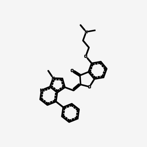 CN(C)CCOc1cccc2c1C(=O)C(=Cc1cn(C)c3nccc(-c4ccccc4)c13)O2